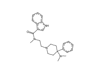 CN(CCN1CCC(c2ccccc2)(N(C)C)CC1)C(=O)c1c[nH]c2ccccc12